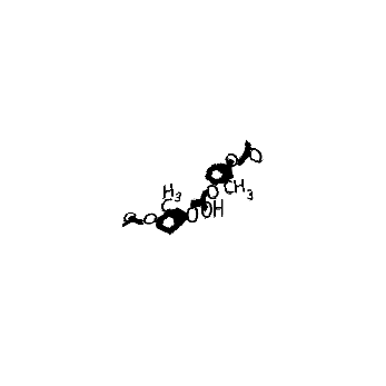 CC12CC(CCC1OCC(O)COC1CC3(C)CC1CCC3OCC1CO1)C(OCC1CO1)C2